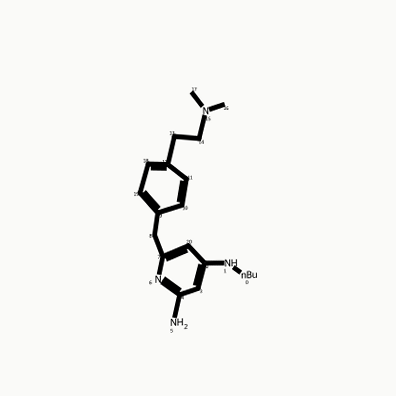 CCCCNc1cc(N)nc(Cc2ccc(CCN(C)C)cc2)c1